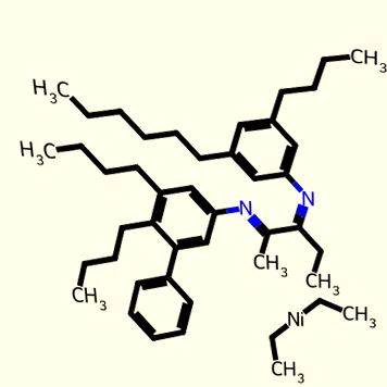 CCCCCCc1cc(CCCC)cc(N=C(CC)C(C)=Nc2cc(CCCC)c(CCCC)c(-c3ccccc3)c2)c1.C[CH2][Ni][CH2]C